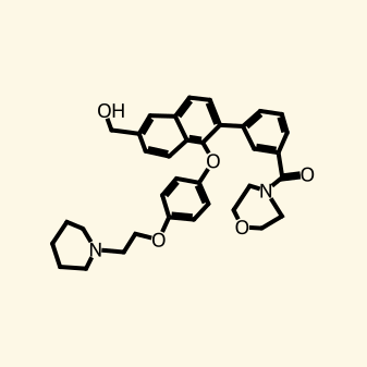 O=C(c1cccc(-c2ccc3cc(CO)ccc3c2Oc2ccc(OCCN3CCCCC3)cc2)c1)N1CCOCC1